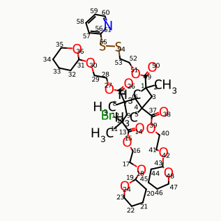 CC(C)(CC(C)(CC(C)(CC(C)(Br)C(=O)OCCOC1CCCCO1)C(=O)OCCOC1CCCCO1)C(=O)OCCOC1CCCCO1)C(=O)OCCSSc1ccccn1